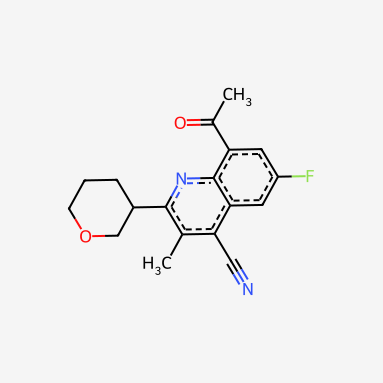 CC(=O)c1cc(F)cc2c(C#N)c(C)c(C3CCCOC3)nc12